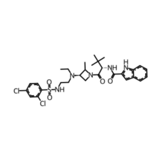 CCN(CCNS(=O)(=O)c1ccc(Cl)cc1Cl)[C@@H]1CN(C(=O)[C@@H](NC(=O)c2cc3ccccc3[nH]2)C(C)(C)C)C1C